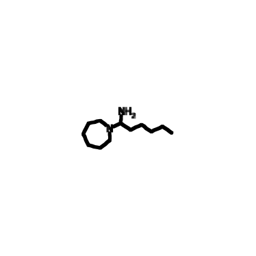 CCCCCC(N)N1CCCCCC1